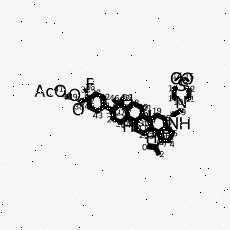 C=C(C)[C@@H]1CC[C@]2(NCCN3CCS(=O)(=O)CC3)CC[C@]3(C)[C@H](CC[C@@H]4[C@@]5(C)CC=C(C6=CC[C@@](CF)(C(=O)OCOC(C)=O)CC6)C(C)(C)[C@@H]5CC[C@]43C)[C@@H]12